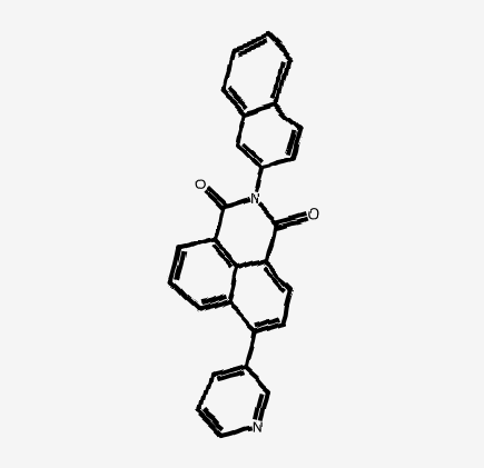 O=C1c2cccc3c(-c4cccnc4)ccc(c23)C(=O)N1c1ccc2ccccc2c1